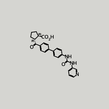 O=C(Nc1ccc(-c2ccc(C(=O)[C@@H]3CCC[C@H]3C(=O)O)cc2)cc1)Nc1cccnc1